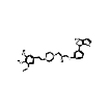 COc1cc(CCN2CCN(CC(O)COc3cccc(-c4n[nH]c5ccsc45)c3)CC2)cc(OC)c1OC